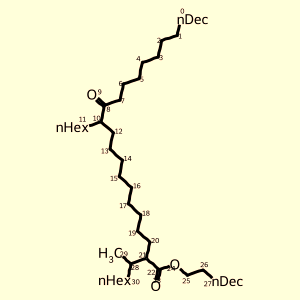 CCCCCCCCCCCCCCCCCC(=O)C(CCCCCC)CCCCCCCCCC(C(=O)OCCCCCCCCCCCC)C(C)CCCCCC